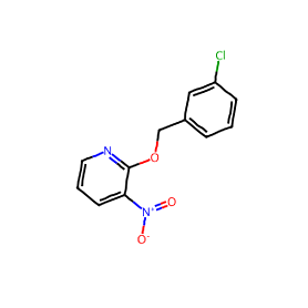 O=[N+]([O-])c1cccnc1OCc1cccc(Cl)c1